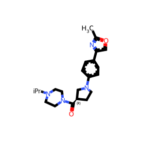 Cc1nc(-c2ccc(N3CC[C@@H](C(=O)N4CCN(C(C)C)CC4)C3)cc2)co1